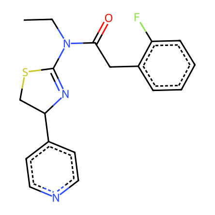 CCN(C(=O)Cc1ccccc1F)C1=NC(c2ccncc2)CS1